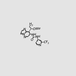 COC(C)c1c(NC(=O)Nc2ccnc(C(F)(F)F)c2)cnn2ccnc12